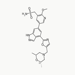 COc1ncc(-c2cc(-c3ncc(CN4CC(C)O[C@@H](C)C4)o3)c3cn[nH]c3c2)cc1CS(N)(=O)=O